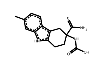 Cc1ccc2c3c([nH]c2c1)CCC(NC(=O)O)(C(N)=S)C3